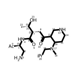 CC(=O)[C@H](CN)NC(=O)[C@@H](CC(=O)C1CNCCC1N(C)CC(C)C)[C@H](C)O